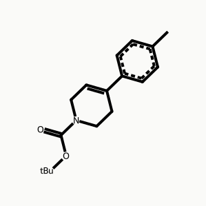 Cc1ccc(C2=CCN(C(=O)OC(C)(C)C)CC2)cc1